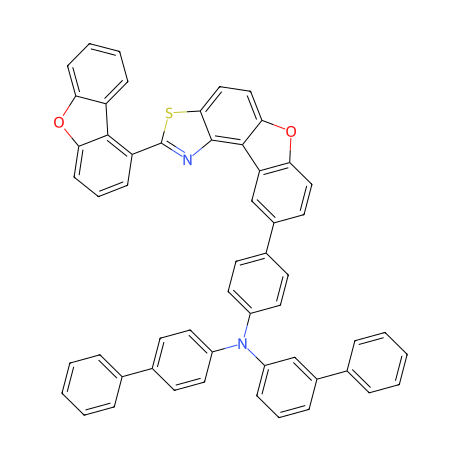 c1ccc(-c2ccc(N(c3ccc(-c4ccc5oc6ccc7sc(-c8cccc9oc%10ccccc%10c89)nc7c6c5c4)cc3)c3cccc(-c4ccccc4)c3)cc2)cc1